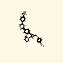 CCS(=O)(=O)c1ccc(C(CO)NC(=O)c2ccc(-c3nc(Oc4ccc(C(F)(F)F)cc4)sc3N3CCCC3=O)cc2)cc1